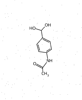 CC(=O)Nc1ccc(C(O)O)cc1